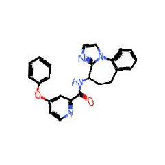 O=C(NC1CCc2ccccc2-n2ccnc21)c1cc(Oc2ccccc2)ccn1